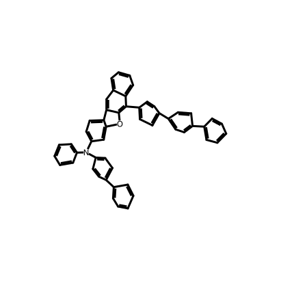 c1ccc(-c2ccc(-c3ccc(-c4c5ccccc5cc5c4oc4cc(N(c6ccccc6)c6ccc(-c7ccccc7)cc6)ccc45)cc3)cc2)cc1